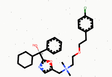 C[N+](C)(CCOCCc1ccc(Cl)cc1)Cc1cnc([C@](O)(c2ccccc2)C2CCCCC2)o1